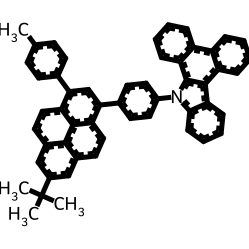 Cc1ccc(-c2cc(-c3ccc(-n4c5ccccc5c5c6ccccc6c6ccccc6c54)cc3)c3ccc4cc(C(C)(C)C)cc5ccc2c3c54)cc1